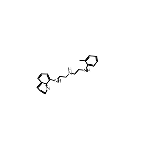 Cc1ccccc1NCCNCCNc1cccc2cccnc12